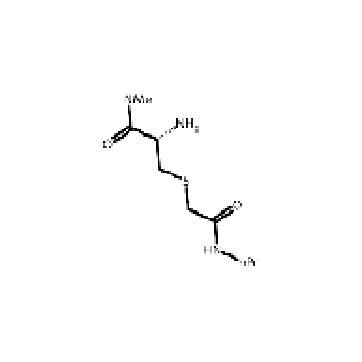 CCCNC(=O)CSC[C@@H](N)C(=O)NC